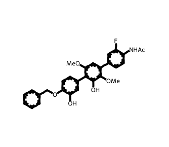 COc1cc(-c2ccc(NC(C)=O)c(F)c2)c(OC)c(O)c1-c1ccc(OCc2ccccc2)c(O)c1